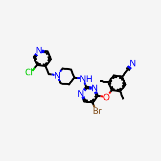 Cc1cc(C#N)cc(C)c1Oc1nc(NC2CCN(Cc3ccncc3Cl)CC2)ncc1Br